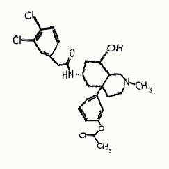 CC(=O)Oc1cccc(C23CCN(C)CC2C(O)C[C@@H](NC(=O)Cc2ccc(Cl)c(Cl)c2)C3)c1